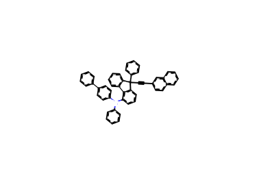 C(#CC1(c2ccccc2)c2ccccc2-c2c(N(c3ccccc3)c3ccc(-c4ccccc4)cc3)cccc21)c1ccc2ccccc2c1